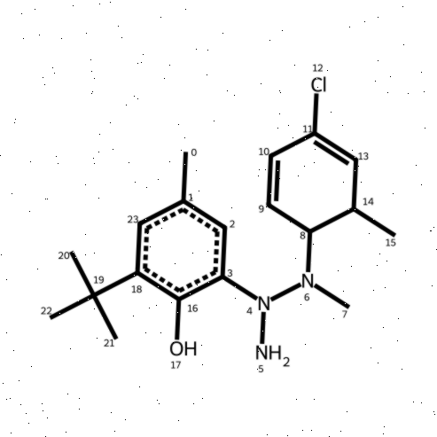 Cc1cc(N(N)N(C)C2C=CC(Cl)=CC2C)c(O)c(C(C)(C)C)c1